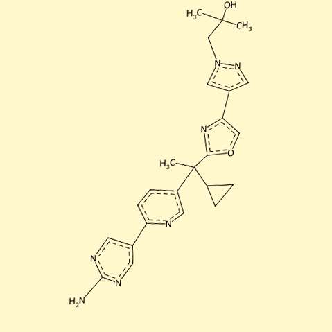 CC(C)(O)Cn1cc(-c2coc(C(C)(c3ccc(-c4cnc(N)nc4)nc3)C3CC3)n2)cn1